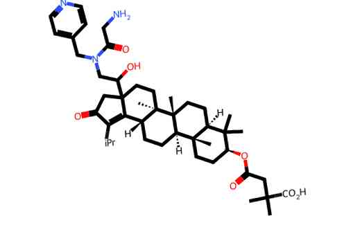 CC(C)C1=C2[C@H]3CC[C@@H]4[C@@]5(C)CC[C@H](OC(=O)CC(C)(C)C(=O)O)C(C)(C)[C@@H]5CC[C@@]4(C)[C@]3(C)CCC2(C(O)CN(Cc2ccncc2)C(=O)CN)CC1=O